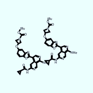 CNc1ncc(-c2nc3cc(OC4CN(C(=O)OC(C)(C)C)C4)ccc3o2)c2cc(NC(=O)C3CC3)ncc12.CNc1ncc(-c2nc3cc(OC4CN(C(=O)OC(C)(C)C)C4)ccc3o2)c2cc(NC(=O)C3CC3)ncc12